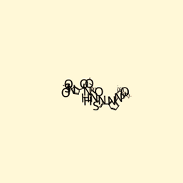 COC[C@@H](NC(=O)c1ccn(S(C)(=O)=O)c1)C(=O)Nc1nc(-c2cccc(N3C[C@@H](C)O[C@@H](C)C3)n2)cs1